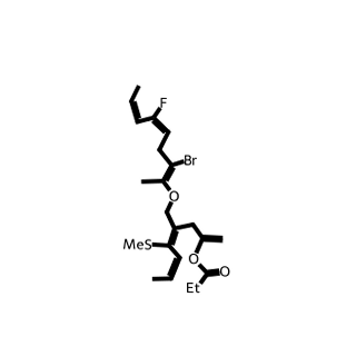 C=C(C/C(CO/C(C)=C(\Br)C/C=C(F)\C=C/C)=C(\C=C/C)SC)OC(=O)CC